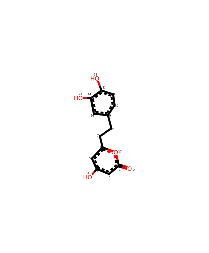 O=c1cc(O)cc(CCc2ccc(O)c(O)c2)o1